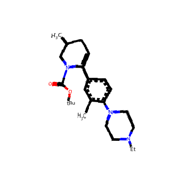 CCN1CCN(c2ccc(C3=CCC(C)CN3C(=O)OC(C)(C)C)cc2C)CC1